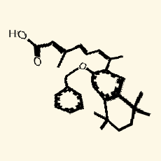 C/C(=C/C=C/C(C)=C/C(=O)O)c1cc2c(cc1OCc1ccccc1)C(C)(C)CCC2(C)C